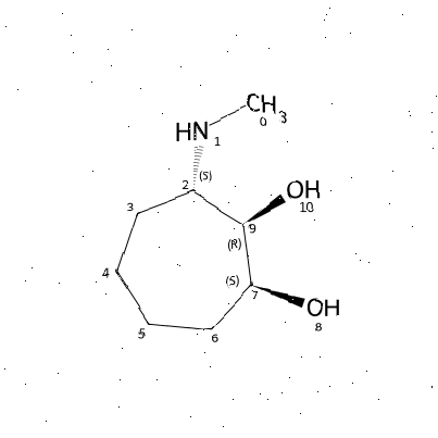 CN[C@H]1CCCC[C@H](O)[C@@H]1O